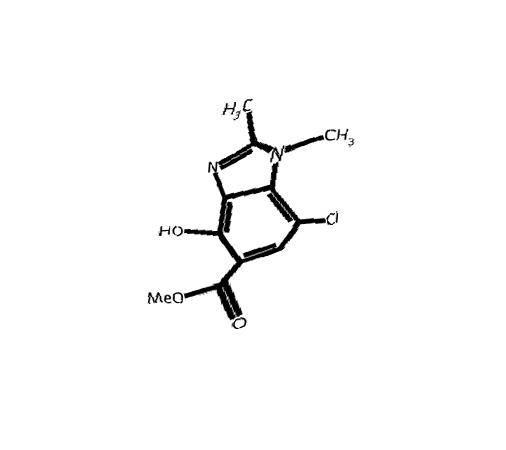 COC(=O)c1cc(Cl)c2c(nc(C)n2C)c1O